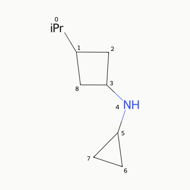 CC(C)C1CC(NC2CC2)C1